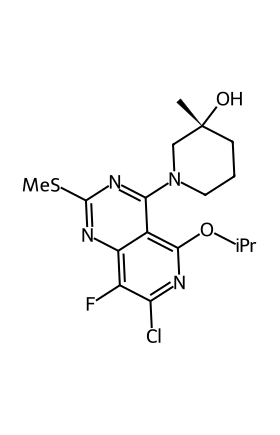 CSc1nc(N2CCC[C@@](C)(O)C2)c2c(OC(C)C)nc(Cl)c(F)c2n1